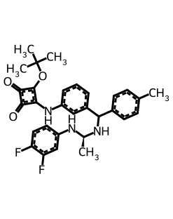 Cc1ccc(C(N[C@@H](C)Nc2ccc(F)c(F)c2)c2cccc(Nc3c(OC(C)(C)C)c(=O)c3=O)c2)cc1